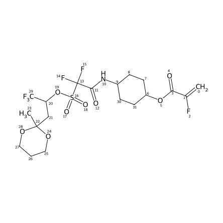 C=C(F)C(=O)OC1CCC(NC(=O)C(F)(F)S(=O)(=O)OC(CC2(C)OCCCO2)C(F)(F)F)CC1